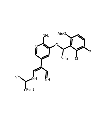 CCCCCC(CCC)N/C=C(\C=N)c1cnc(N)c(OC(C)c2c(OC)ccc(F)c2Cl)c1